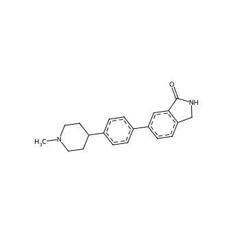 CN1CCC(c2ccc(-c3ccc4c(c3)C(=O)NC4)cc2)CC1